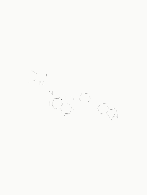 C=CC(=O)N1CCN(c2ncc3ncnc(Nc4ccc(Oc5ccc6c(c5)nnn6C)c(C)c4F)c3n2)CC[C@@H]1C